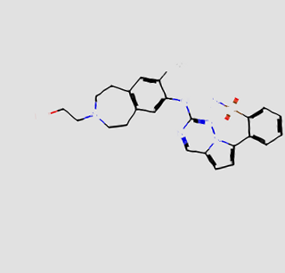 COc1cc2c(cc1Nc1ncc3ccc(-c4ccccc4S(N)(=O)=O)n3n1)CCN(CCO)CC2